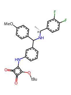 COc1ccc(C(N[C@H](C)c2ccc(F)c(F)c2)c2cccc(Nc3c(OC(C)(C)C)c(=O)c3=O)c2)cc1